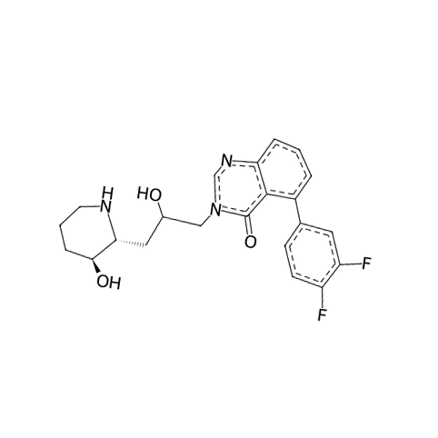 O=c1c2c(-c3ccc(F)c(F)c3)cccc2ncn1CC(O)C[C@H]1NCCC[C@@H]1O